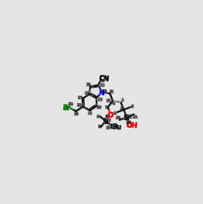 CC(C)(C[C@H](CO[Si](C)(C)C(C)(C)C)Cn1c(C#N)cc2cc(CBr)ccc21)[Si](C)(C)O